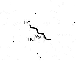 CCCCCCO.Cl.[MgH2]